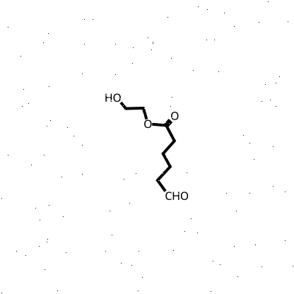 O=CCCCCC(=O)OCCO